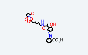 CC(C(=O)NCCCCCC(=O)ON1C(=O)CCC1=O)c1cc(/N=N/c2ccccc2C(=O)O)ccc1O